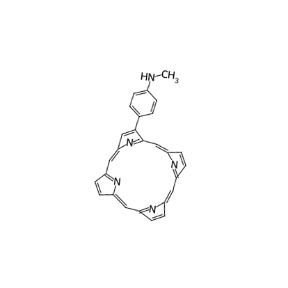 CNc1ccc(C2=CC3=CC4=NC(=CC5=NC(=CC6=NC(=CC2=N3)C=C6)C=C5)C=C4)cc1